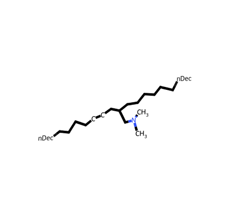 CCCCCCCCCCCCCCCCCC(CCCCCCCCCCCCCCCC)CN(C)C